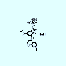 Cc1nc2c(O[C@H]3CCOc4cc(F)cc(F)c43)cc(C(=O)N(C)C)cc2n1COP(=O)(O)O.[NaH]